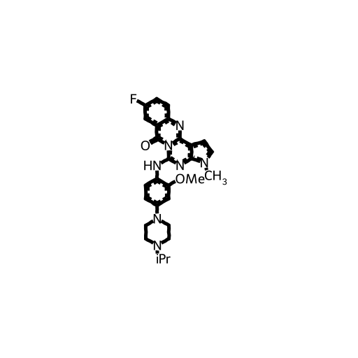 COc1cc(N2CCN(C(C)C)CC2)ccc1Nc1nc2c(ccn2C)c2nc3ccc(F)cc3c(=O)n12